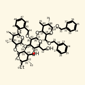 CCC1O[C@@H](OC2[C@H](OC3[C@H](O)C(CO)O[C@@H](O[C@@H]4C(COCc5ccccc5)O[C@@H](OCc5ccccc5)[C@@H](C)C4C)[C@@H]3OCc3ccccc3)OC(CC)[C@H](C)[C@H]2C)[C@@H](C)C(C)[C@@H]1C